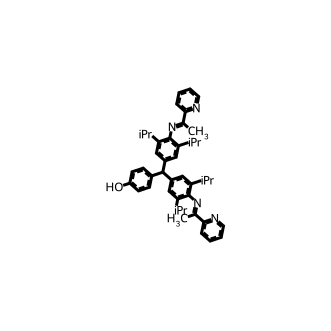 CC(=Nc1c(C(C)C)cc(C(c2ccc(O)cc2)c2cc(C(C)C)c(N=C(C)c3ccccn3)c(C(C)C)c2)cc1C(C)C)c1ccccn1